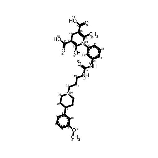 COc1cccc(C2CCN(CCCNC(=O)Nc3cccc(N4C(C)=C(C(=O)O)CC(C(=O)O)=C4C)c3)CC2)c1